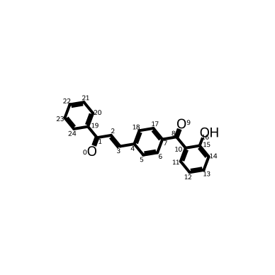 O=C(C=Cc1ccc(C(=O)c2ccccc2O)cc1)c1ccccc1